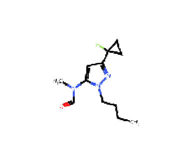 CCCCn1nc(C2(F)CC2)cc1N(C)C=O